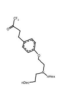 CCCCCCCCCCCCN(CCCCCC)CCOc1ccc(CCC(=O)C(F)(F)F)cc1